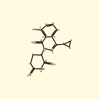 O=C1CCC(n2nc(C3CC3)c3cccc(F)c3c2=O)C(=O)N1